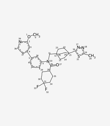 COc1cc(-c2cccc(N(CC34CCC(c5nnc(C)s5)(CC3)CC4)C(=O)C3CCC(F)(F)CC3)c2)ccn1